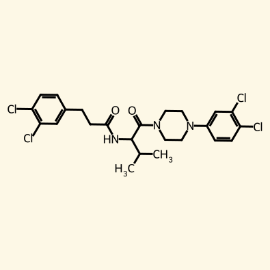 CC(C)C(NC(=O)CCc1ccc(Cl)c(Cl)c1)C(=O)N1CCN(c2ccc(Cl)c(Cl)c2)CC1